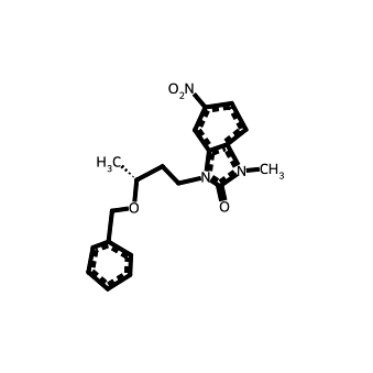 C[C@H](CCn1c(=O)n(C)c2ccc([N+](=O)[O-])cc21)OCc1ccccc1